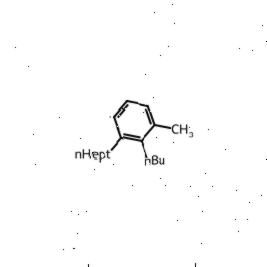 CCCCCCCc1[c]ccc(C)c1CCCC